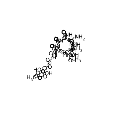 COc1cccc2c1C(=O)c1c(O)c3c(c(O)c1C2=O)CC(C(=O)COC(=O)CCCC(=O)N[C@H](Cc1ccccc1)C(=O)NC1CSSC[C@@H](C(=O)N[C@H](CO)[C@@H](C)O)NC(=O)[C@H]([C@@H](C)O)NC(=O)C(CCCCN)NC(=O)[C@@H](Cc2c[nH]c4ccccc24)NC(=O)[C@H](Cc2ccccc2)NC1=O)CC3